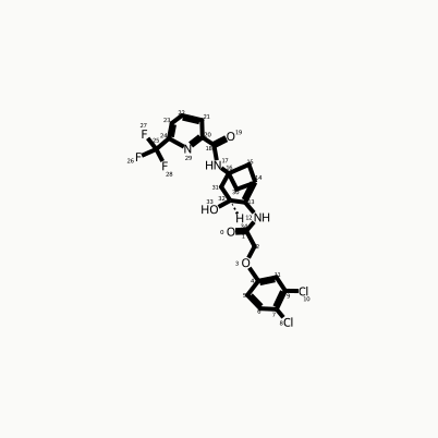 O=C(COc1ccc(Cl)c(Cl)c1)NC1=C2CC(NC(=O)c3cccc(C(F)(F)F)n3)(C2)C[C@@H]1O